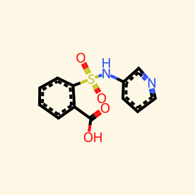 O=C(O)c1ccccc1S(=O)(=O)Nc1cccnc1